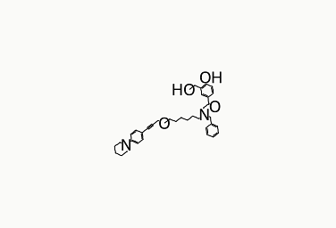 O=C(CN(CCCCCCOCC#Cc1ccc(N2CCCCC2)cc1)Cc1ccccc1)c1ccc(O)c(CO)c1